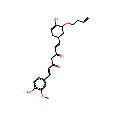 C=CCCOC1CC(C=CC(=O)CC(=O)C=Cc2ccc(O)c(OC)c2)CC=C1O